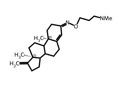 C=C1CCC2C3CCC4=CC(=NOCCCNC)CC[C@]4(C)C3CC[C@]12C